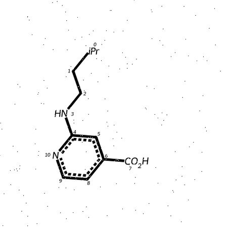 CC(C)CCNc1cc(C(=O)O)ccn1